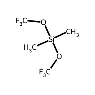 C[Si](C)(OC(F)(F)F)OC(F)(F)F